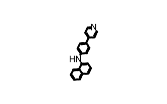 c1ccc2c(Nc3ccc(-c4ccncc4)cc3)cccc2c1